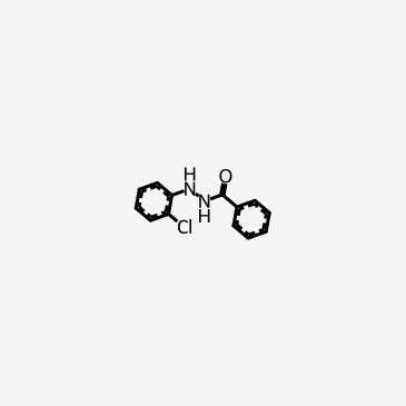 O=C(NNc1ccccc1Cl)c1ccccc1